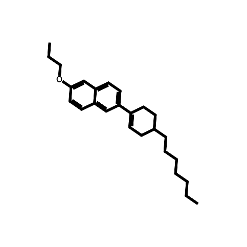 CCCCCCCC1CC=C(c2ccc3cc(OCCC)ccc3c2)CC1